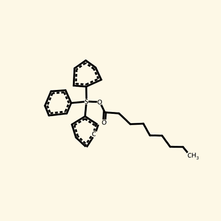 CCCCCCCCC(=O)OS(c1ccccc1)(c1ccccc1)c1ccccc1